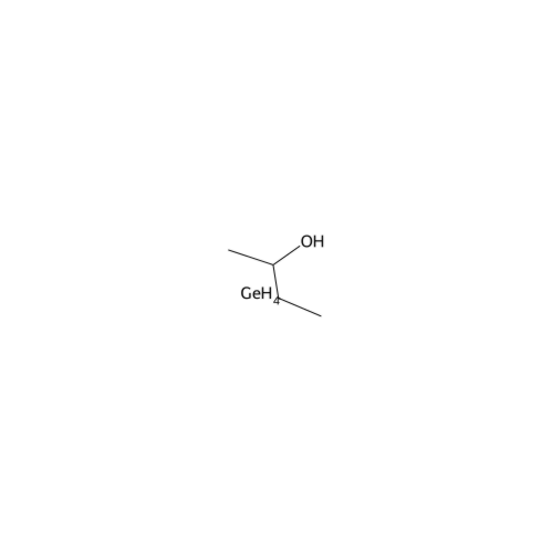 CCC(C)O.[GeH4]